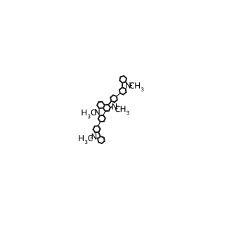 CN1c2cc(-c3ccc4c(c3)c3ccccc3n4C)ccc2-c2cc3c(c4cccc1c24)c1ccc(-c2ccc4c(c2)c2ccccc2n4C)cc1n3C